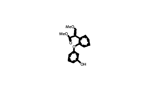 CO/C=C(\C(=O)OC)c1ccccc1Oc1cccc(O)c1